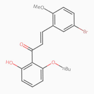 CCCCOc1cccc(O)c1C(=O)/C=C/c1cc(Br)ccc1OC